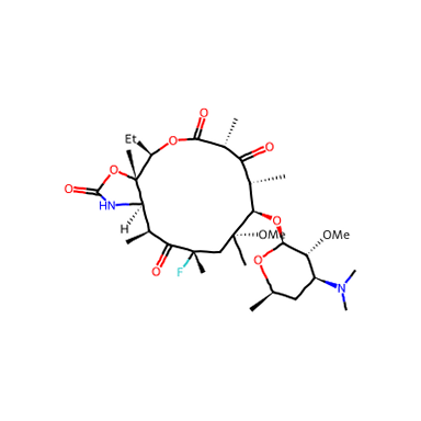 CC[C@H]1OC(=O)[C@H](C)C(=O)[C@H](C)[C@@H](O[C@@H]2O[C@H](C)C[C@H](N(C)C)[C@H]2OC)[C@](C)(OC)C[C@](C)(F)C(=O)[C@@H](C)[C@H]2NC(=O)O[C@@]21C